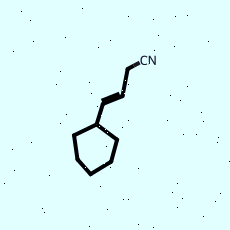 N#CCC=CC1CCCCC1